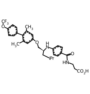 Cc1cc(OC[C@H](CC(C)C)Nc2ccc(C(=O)NCCC(=O)O)cc2)cc(C)c1-c1ccc(OC(F)(F)F)cc1